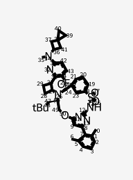 Cc1cccc(C)c1-c1cc2nc(n1)NS(=O)(=O)c1cccc(c1)C(=O)N(C1CCC1c1nc(N(C)C3CC4(CC4)C3)ccc1F)[C@H](CC(C)(C)C)CO2